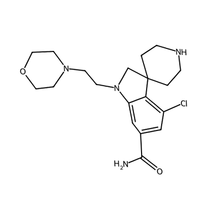 NC(=O)c1cc(Cl)c2c(c1)N(CCN1CCOCC1)CC21CCNCC1